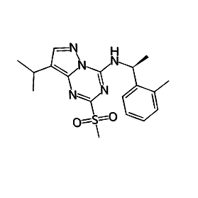 Cc1ccccc1[C@H](C)Nc1nc(S(C)(=O)=O)nc2c(C(C)C)cnn12